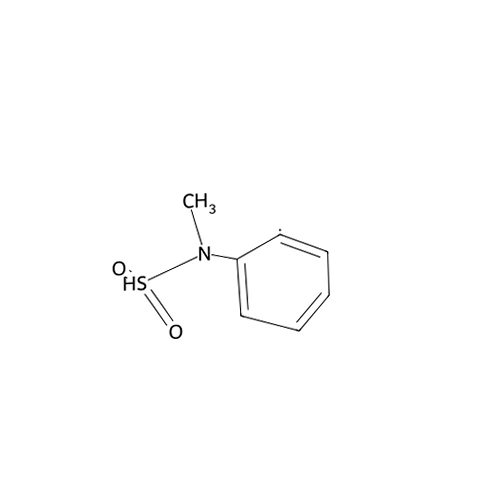 CN(c1[c]cccc1)[SH](=O)=O